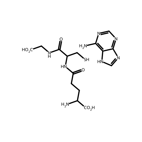 NC(CCC(=O)NC(CS)C(=O)NCC(=O)O)C(=O)O.Nc1ncnc2nc[nH]c12